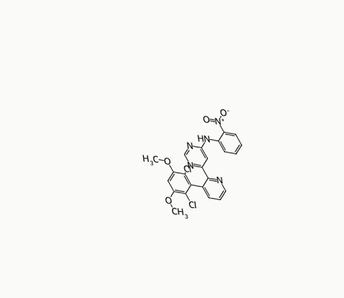 COc1cc(OC)c(Cl)c(-c2cccnc2-c2cc(Nc3ccccc3[N+](=O)[O-])ncn2)c1Cl